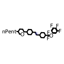 CCCCCC1CCC(C2CCC(/C=C/C3CCC(C(F)(F)Oc4cc(F)c(F)c(F)c4)CC3)CC2)OC1